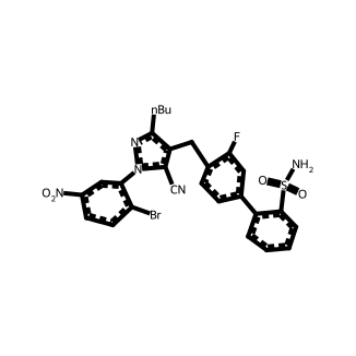 CCCCc1nn(-c2cc([N+](=O)[O-])ccc2Br)c(C#N)c1Cc1ccc(-c2ccccc2S(N)(=O)=O)cc1F